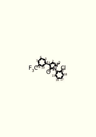 Cn1cc(-c2cccc(C(F)(F)F)c2)c(=O)n1-c1ccccc1Cl